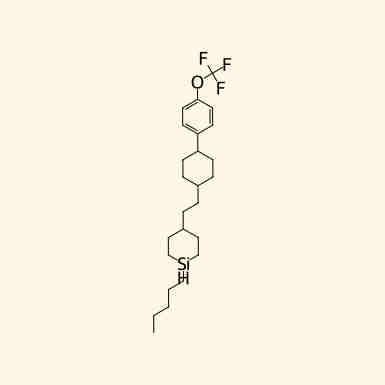 CCCCC[SiH]1CCC(CCC2CCC(c3ccc(OC(F)(F)F)cc3)CC2)CC1